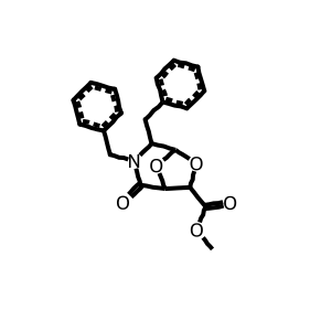 COC(=O)C1OC2OC1C(=O)N(Cc1ccccc1)C2Cc1ccccc1